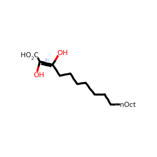 CCCCCCCCCCCCCCC/C(O)=C(\O)C(=O)O